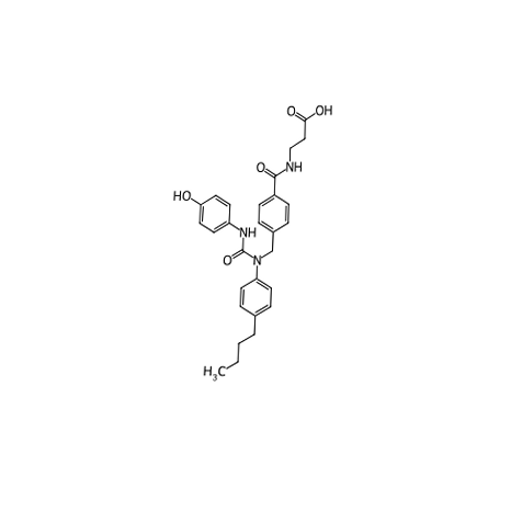 CCCCc1ccc(N(Cc2ccc(C(=O)NCCC(=O)O)cc2)C(=O)Nc2ccc(O)cc2)cc1